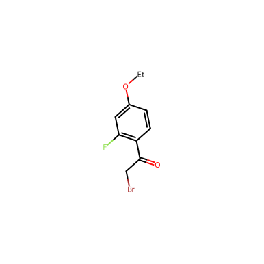 CCOc1ccc(C(=O)CBr)c(F)c1